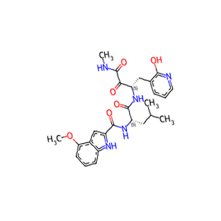 CNC(=O)C(=O)[C@H](Cc1cccnc1O)NC(=O)[C@H](CC(C)C)NC(=O)c1cc2c(OC)cccc2[nH]1